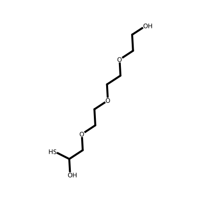 OCCOCCOCCOCC(O)S